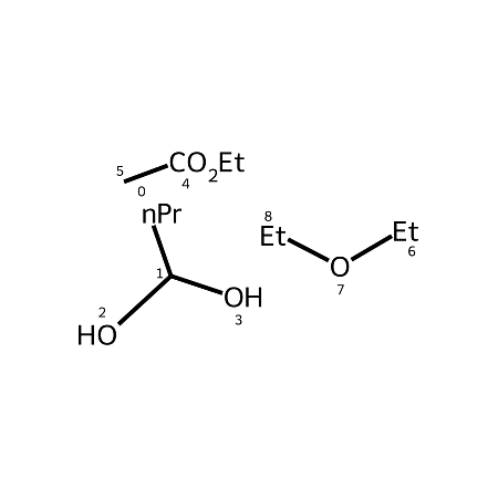 CCCC(O)O.CCOC(C)=O.CCOCC